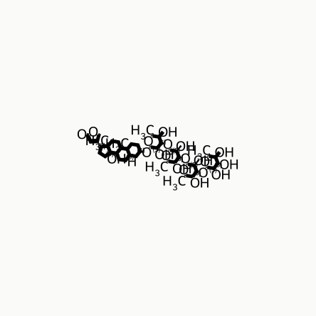 CC1OC(O[C@H]2C(O)C(C)OC(O[C@H]3C(O)C(C)OC(O[C@H]4C(O)C(C)OC(O[C@H]5CCC6(C)C7CCC8(C)[C@@H](C9=CC(=O)OC9)CC[C@]8(O)C7CC[C@H]6C5)[C@H]4O)[C@H]3O)[C@H]2O)[C@@H](O)[C@@H](O)C1O